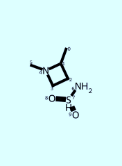 CC1CCN1C.N[SH](=O)=O